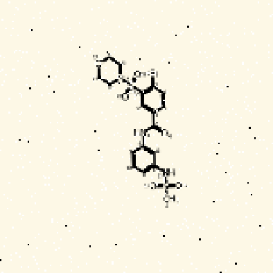 CCc1ccc(C(=O)Nc2cccc(NS(C)(=O)=O)c2)cc1S(=O)(=O)N1CCOCC1